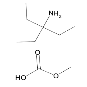 CCC(N)(CC)CC.COC(=O)O